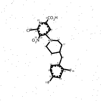 O=C(O)c1cc(N2CCC(Cc3ccc(F)cc3F)CC2)c([N+](=O)[O-])c(Cl)n1